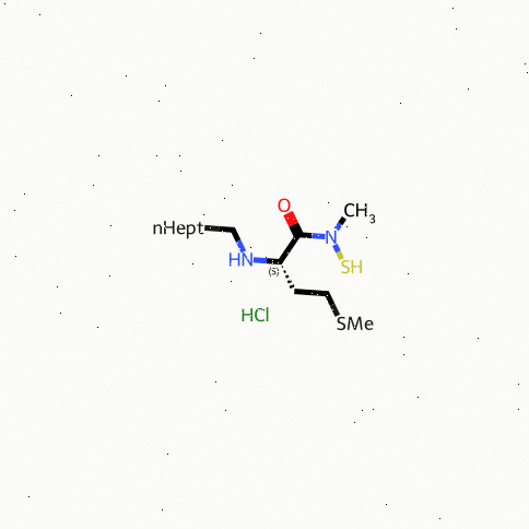 CCCCCCCCN[C@@H](CCSC)C(=O)N(C)S.Cl